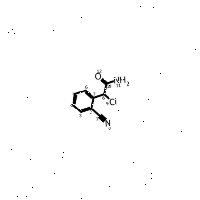 N#Cc1ccccc1C(Cl)C(N)=O